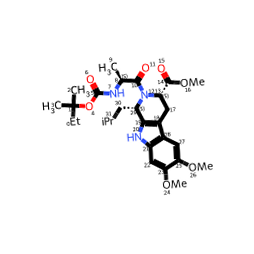 CCC(C)(C)OC(=O)N[C@@H](C)C(=O)N1[C@H](C(=O)OC)Cc2c([nH]c3cc(OC)c(OC)cc23)[C@@H]1CC(C)C